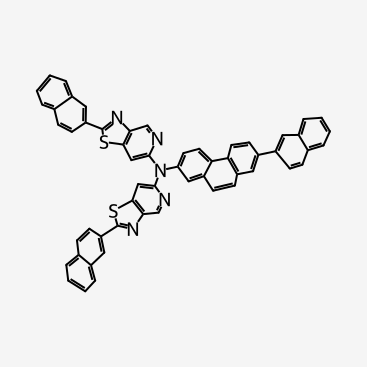 c1ccc2cc(-c3ccc4c(ccc5cc(N(c6cc7sc(-c8ccc9ccccc9c8)nc7cn6)c6cc7sc(-c8ccc9ccccc9c8)nc7cn6)ccc54)c3)ccc2c1